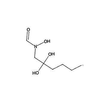 [CH2]CCCC(O)(O)CN(O)C=O